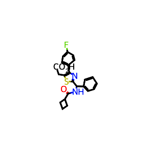 O=C(O)Cc1sc(C(NC(=O)C2CCC2)c2ccccc2)nc1-c1ccc(F)cc1